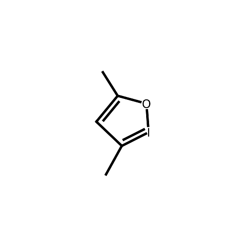 CC1=CC(C)=IO1